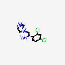 N=C(Cn1ccnc1)c1ccc(Cl)cc1Cl